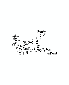 CCCCC/C=C\CCOC(=O)CCCCC(=O)OCC(CO)(COC(=O)CCCCC(=O)OCC/C=C\CCCCC)COC(=O)C12CCC(CC1)CC2